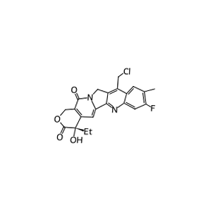 CC[C@@]1(O)C(=O)OCc2c1cc1n(c2=O)Cc2c-1nc1cc(F)c(C)cc1c2CCl